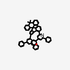 CC1(C)c2ccccc2C2(c3ccc(C4=CC(c5ccccc5)=CC(c5ccccc5)C4)cc3-c3c(-c4cc(-c5ccccc5)cc(-c5ccccc5)n4)cccc32)c2ccccc21